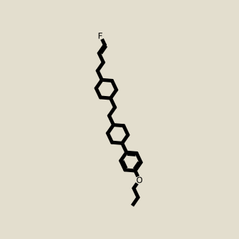 CCCOc1ccc(C2CCC(CCC3CCC(CCC=CF)CC3)CC2)cc1